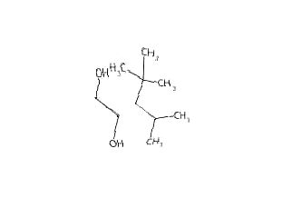 CC(C)CC(C)(C)C.OCCO